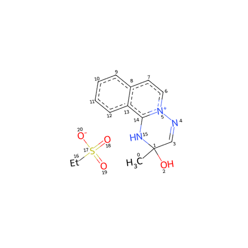 CC1(O)C=N[n+]2ccc3ccccc3c2N1.CCS(=O)(=O)[O-]